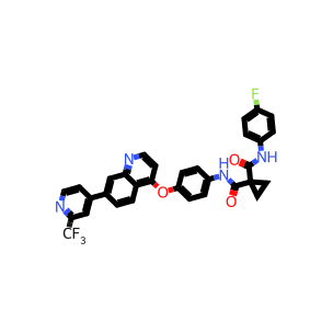 O=C(Nc1ccc(F)cc1)C1(C(=O)Nc2ccc(Oc3ccnc4cc(-c5ccnc(C(F)(F)F)c5)ccc34)cc2)CC1